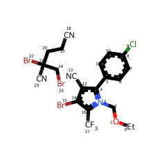 CCOCn1c(-c2ccc(Cl)cc2)c(C#N)c(Br)c1C(F)(F)F.N#CCCC(Br)(C#N)CBr